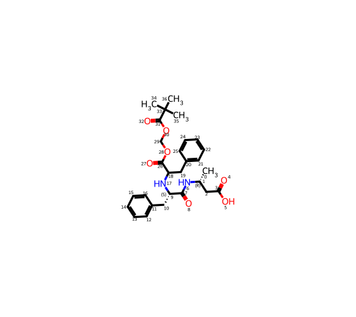 C[C@H](CC(=O)O)NC(=O)[C@H](Cc1ccccc1)NC(Cc1ccccc1)C(=O)OCOC(=O)C(C)(C)C